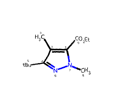 CCOC(=O)c1c(C)c(C(C)(C)C)nn1C